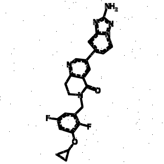 Nc1nc2cc(-c3cnc4c(c3)C(=O)N(Cc3cc(F)cc(OC5CC5)c3F)CC4)ccn2n1